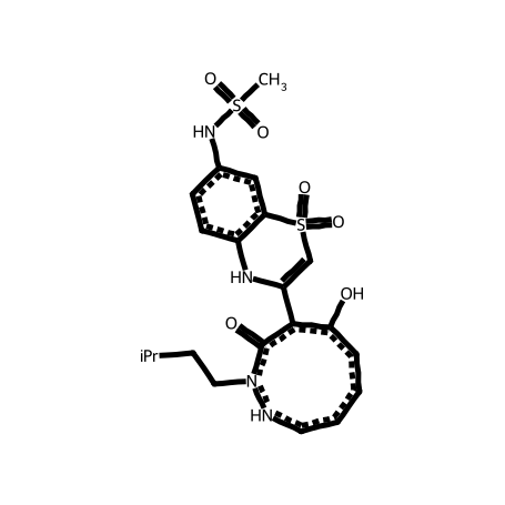 CC(C)CCn1[nH]ccccc(O)c(C2=CS(=O)(=O)c3cc(NS(C)(=O)=O)ccc3N2)c1=O